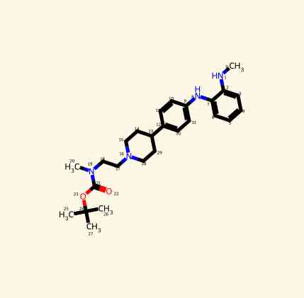 CNc1ccccc1Nc1ccc(C2CCN(CCN(C)C(=O)OC(C)(C)C)CC2)cc1